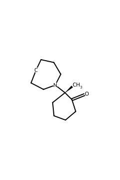 C[C@]1(N2CCCCCC2)CCCCC1=O